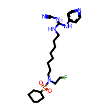 N#C/N=C(\NCCCCCCCCN(CCF)S(=O)(=O)C1CCCCC1)Nc1ccncc1